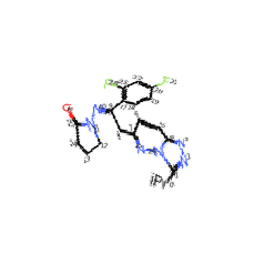 CC(C)c1nnc2ccc(C/C(=N\N3CCCC3=O)c3ccc(F)cc3F)nn12